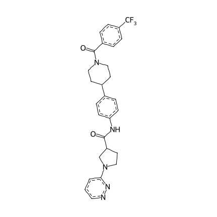 O=C(Nc1ccc(C2CCN(C(=O)c3ccc(C(F)(F)F)cc3)CC2)cc1)C1CCN(c2cccnn2)C1